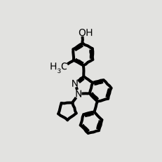 Cc1cc(O)ccc1-c1nn(C2CCCC2)c2c(-c3ccccc3)cccc12